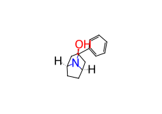 O[C@H]1C[C@H]2CC[C@@H](C1)N2Cc1ccccc1